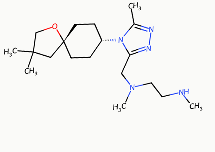 CNCCN(C)Cc1nnc(C)n1[C@H]1CC[C@@]2(CC1)CC(C)(C)CO2